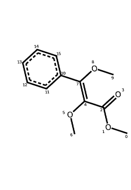 COC(=O)C(OC)=C(OC)c1ccccc1